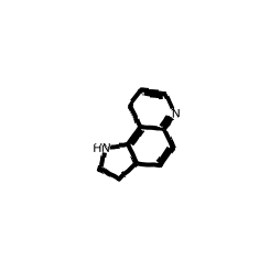 C1=CN=C2C=CC3CCNC3=C2C1